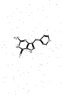 Nc1nc2c(CC3=CCOC=C3)c[nH]c2c(=O)[nH]1